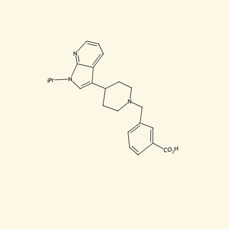 CC(C)n1cc(C2CCN(Cc3cccc(C(=O)O)c3)CC2)c2cccnc21